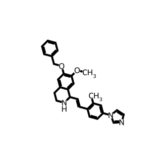 COc1cc2c(cc1OCc1ccccc1)CCNC2/C=C/c1ccc(-n2ccnc2)cc1C